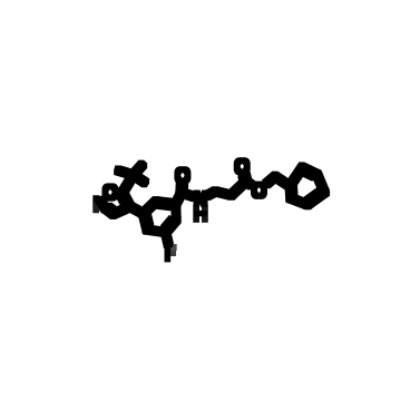 CC(C)(C)c1oncc1-c1cc(F)cc(C(=O)NCCC(=O)OCc2ccccc2)c1